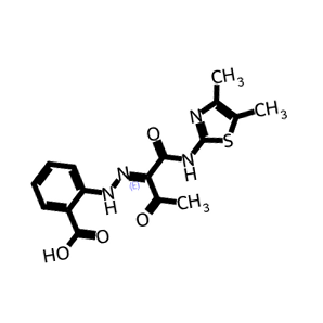 CC(=O)/C(=N\Nc1ccccc1C(=O)O)C(=O)Nc1nc(C)c(C)s1